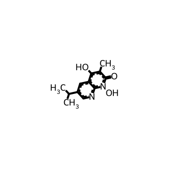 Cc1c(O)c2cc(C(C)C)cnc2n(O)c1=O